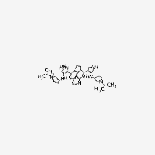 CC(C)n1ccc(Nc2c[nH]cc2-c2nc3ncnc4nc(-c5c[nH]cc5Nc5ccn(C(C)C)c5)c5ccc2c5n34)c1